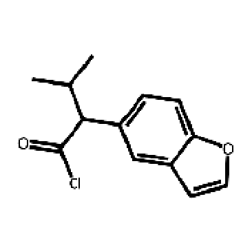 CC(C)C(C(=O)Cl)c1ccc2occc2c1